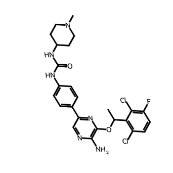 CC(Oc1nc(-c2ccc(NC(=O)NC3CCN(C)CC3)cc2)cnc1N)c1c(Cl)ccc(F)c1Cl